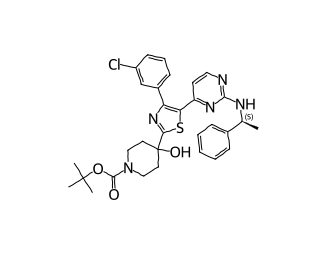 C[C@H](Nc1nccc(-c2sc(C3(O)CCN(C(=O)OC(C)(C)C)CC3)nc2-c2cccc(Cl)c2)n1)c1ccccc1